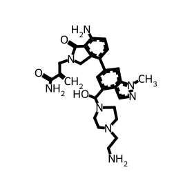 C=C(CN1Cc2c(-c3cc(C(O)N4CCN(CCN)CC4)c4cnn(C)c4c3)ccc(N)c2C1=O)C(N)=O